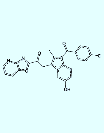 Cc1c(CC(=O)c2nc3ncccc3o2)c2cc(O)ccc2n1C(=O)c1ccc(Cl)cc1